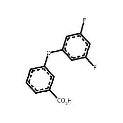 O=C(O)c1cccc(Oc2cc(F)cc(F)c2)c1